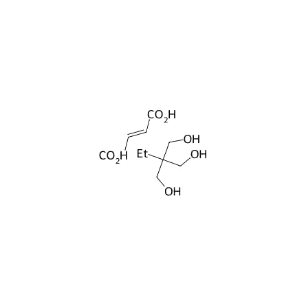 CCC(CO)(CO)CO.O=C(O)/C=C/C(=O)O